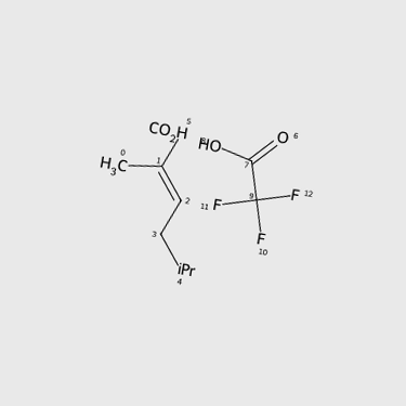 CC(=CCC(C)C)C(=O)O.O=C(O)C(F)(F)F